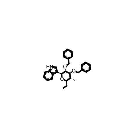 CC[C@H]1O[C@@H](c2c[nH]c3ccccc23)[C@H](OCc2ccccc2)[C@@H](OCc2ccccc2)[C@@H]1C